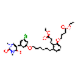 CCOC(=O)CCCOc1cccc(CCCCCCOc2cc(Br)cc(-c3cn(C)c(=O)n(C)c3=O)c2)c1CCC(=O)OCC